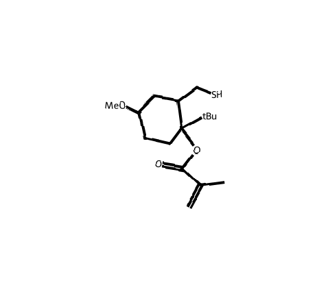 C=C(C)C(=O)OC1(C(C)(C)C)CCC(OC)CC1CS